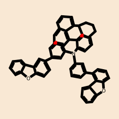 c1cc(-c2ccc3oc4ccccc4c3c2)cc(N(c2cccc(-c3cccc4oc5ccccc5c34)c2)c2ccccc2-c2cccc3cccc(C4CCCCC4)c23)c1